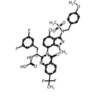 COc1ccc(CN(c2nn(C)c3c(-n4c([C@H](Cc5cc(F)cc(F)c5)NC(=O)O)nc5cc(C(C)(F)F)ccc5c4=O)ccc(Cl)c23)S(C)(=O)=O)cc1